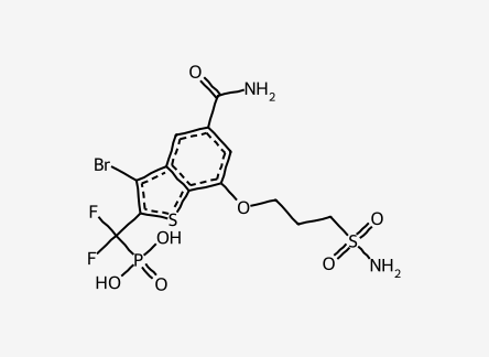 NC(=O)c1cc(OCCCS(N)(=O)=O)c2sc(C(F)(F)P(=O)(O)O)c(Br)c2c1